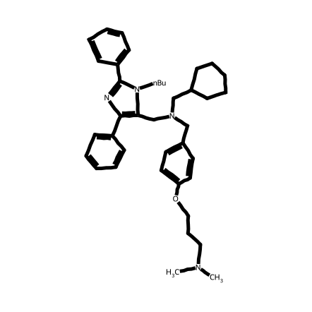 CCCCn1c(-c2ccccc2)nc(-c2ccccc2)c1CN(Cc1ccc(OCCCN(C)C)cc1)CC1CCCCC1